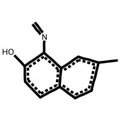 C=Nc1c(O)ccc2ccc(C)cc12